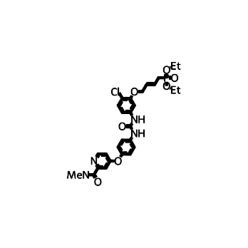 CCOP(=O)(C/C=C/COc1cc(NC(=O)Nc2ccc(Oc3ccnc(C(=O)NC)c3)cc2)ccc1Cl)OCC